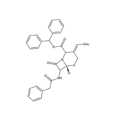 CC(=O)OC=C1CS[C@@H]2C(NC(=O)Cc3ccccc3)C(=O)N2C1C(=O)OC(c1ccccc1)c1ccccc1